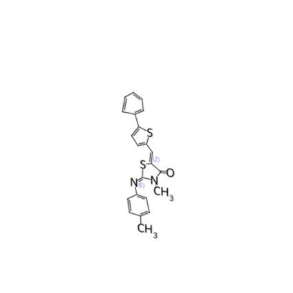 Cc1ccc(/N=C2/S/C(=C\c3ccc(-c4ccccc4)s3)C(=O)N2C)cc1